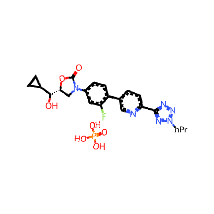 CCCn1nnc(-c2ccc(-c3ccc(N4C[C@H](C(O)C5CC5)OC4=O)cc3F)cn2)n1.O=P(O)(O)O